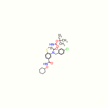 CC(C)(C)OC(=O)N[C@H]1CSc2ccc(C(=O)NOC3CCCCC3)cc2N(Cc2ccc(Cl)cc2)C1=O